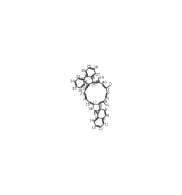 Cc1ccc(C)c(-c2ccc3ccccc3n2)c(C)ccccc(C)c(-c2ccccc2-c2ccccc2)c(C)c1